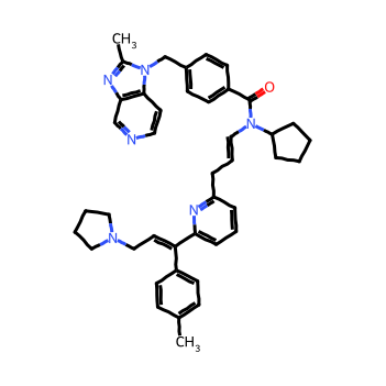 Cc1ccc(C(=CCN2CCCC2)c2cccc(CC=CN(C(=O)c3ccc(Cn4c(C)nc5cnccc54)cc3)C3CCCC3)n2)cc1